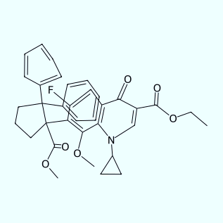 CCOC(=O)c1cn(C2CC2)c2c(OC)c(C3(C(=O)OC)CCCC3(c3ccccc3)c3ccccc3)c(F)cc2c1=O